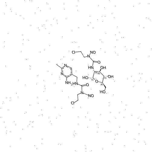 Cc1ncc(CNC(=O)N(CCCl)N=O)c(N)n1.O=NN(CCCl)C(=O)N[C@@H]1[C@@H](O)[C@H](O)[C@@H](CO)O[C@@H]1O